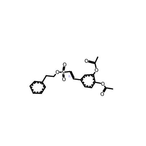 CC(=O)Oc1ccc(/C=C/S(=O)(=O)OCCc2ccccc2)cc1OC(C)=O